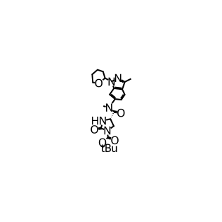 Cc1nn(C2CCCCO2)c2cc(N(C)C(=O)[C@@H]3CN(C(=O)OC(C)(C)C)C(=O)N3)ccc12